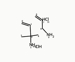 C=CC(C)(C)N.C=CCN.Cl.Cl